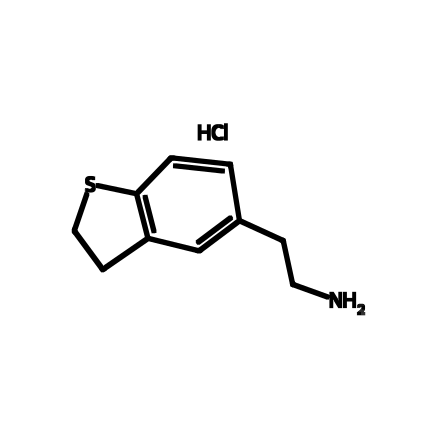 Cl.NCCc1ccc2c(c1)CCS2